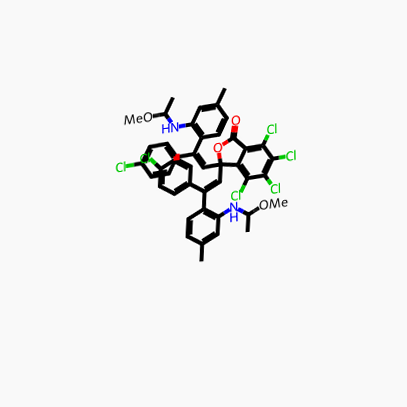 COC(C)Nc1cc(C)ccc1C(=CC1(C=C(c2ccc(Cl)cc2)c2ccc(C)cc2NC(C)OC)OC(=O)c2c(Cl)c(Cl)c(Cl)c(Cl)c21)c1ccc(Cl)cc1